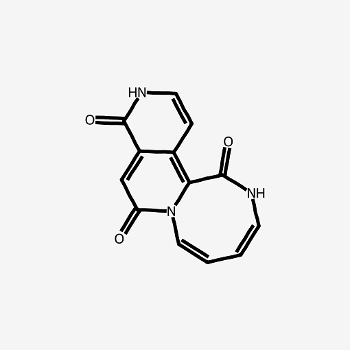 O=C1NC=CC=Cn2c1c1cc[nH]c(=O)c1cc2=O